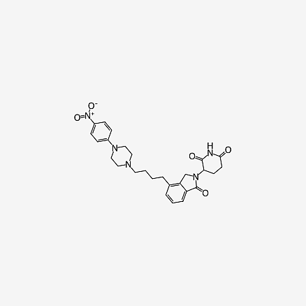 O=C1CCC(N2Cc3c(CCCCN4CCN(c5ccc([N+](=O)[O-])cc5)CC4)cccc3C2=O)C(=O)N1